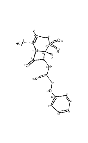 CC1=C(C(=O)O)N2C(=O)C(NC(=O)COc3ccccc3)[C@H]2S(=O)(=O)C1